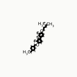 CCC1CCC(COc2ccc3c(sc4c(F)c(OCCCC(C)C)ccc43)c2F)CC1